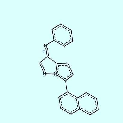 C1=Nn2c(-c3cccc4ccccc34)cnc2/C1=N\c1ccccc1